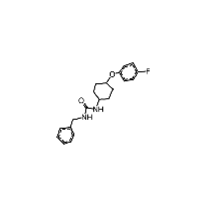 O=C(NCc1ccccc1)NC1CCC(Oc2ccc(F)cc2)CC1